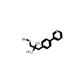 CC(C)(C)OCC(Cc1ccc(-c2cccnc2)cc1)(C(=O)O)C(=O)O